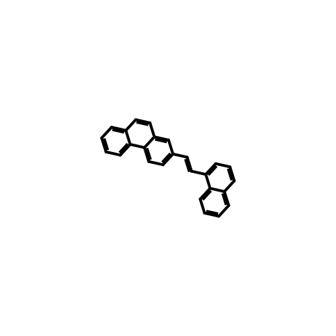 C(=C\c1cccc2ccccc12)/c1ccc2c(ccc3ccccc32)c1